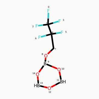 FC(F)(F)C(F)(F)COB1OBOBO1